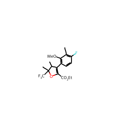 CCOC(=O)C1=C(c2ccc(F)c(C)c2OC)C(C)C(C)(C(F)(F)F)O1